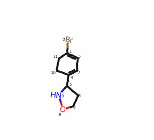 BrC1=CC=C(C2CCON2)CC1